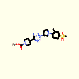 C=C(/N=N\N(N)[C@H]1CCN(c2ccc(S(C)(=O)=O)cc2C)C1)C1CCN(C(=O)OC(C)C)CC1